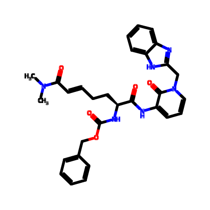 CN(C)C(=O)/C=C/CC[C@H](NC(=O)OCc1ccccc1)C(=O)Nc1cccn(Cc2nc3ccccc3[nH]2)c1=O